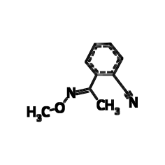 CO/N=C(\C)c1ccccc1C#N